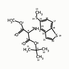 COC(=O)C(N)C(=O)OC(C)(C)C.CSc1ccc2sccc2c1